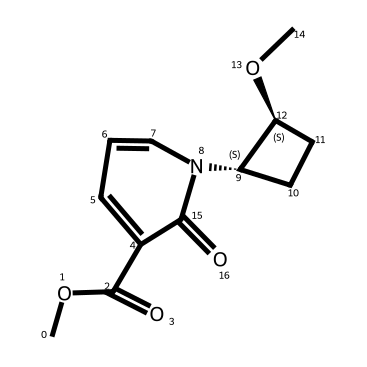 COC(=O)c1cccn([C@H]2CC[C@@H]2OC)c1=O